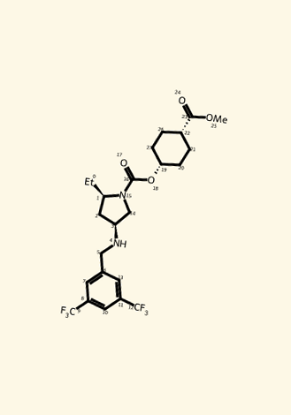 CC[C@@H]1C[C@H](NCc2cc(C(F)(F)F)cc(C(F)(F)F)c2)CN1C(=O)O[C@H]1CC[C@@H](C(=O)OC)CC1